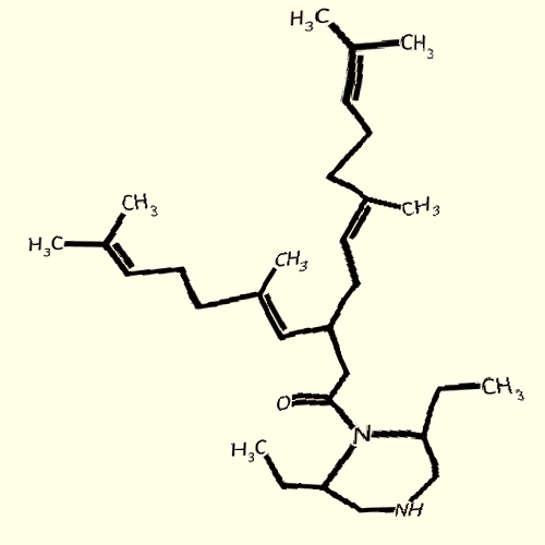 CCC1CNCC(CC)N1C(=O)CC(/C=C(\C)CCC=C(C)C)C/C=C(\C)CCC=C(C)C